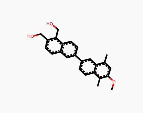 COc1cc(C)c2cc(-c3ccc4c(CO)c(CO)ccc4c3)ccc2c1C